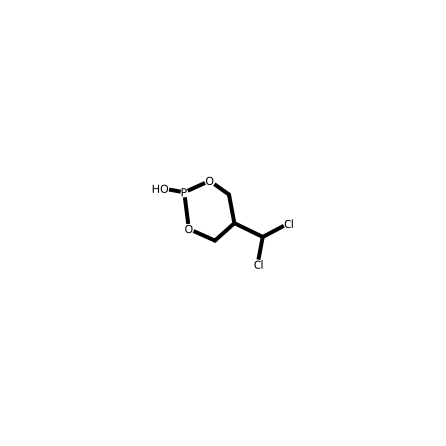 OP1OCC(C(Cl)Cl)CO1